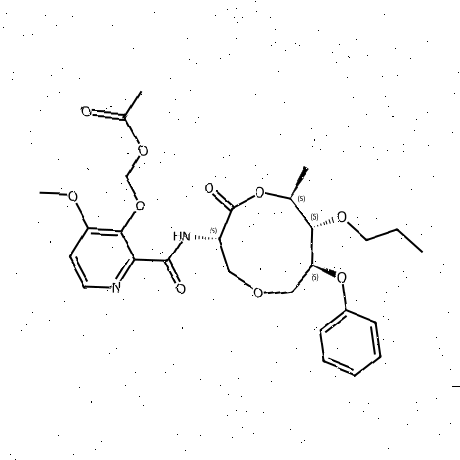 CCCO[C@H]1[C@H](C)OC(=O)[C@@H](NC(=O)c2nccc(OC)c2OCOC(C)=O)COC[C@@H]1Oc1ccccc1